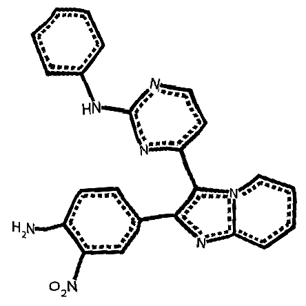 Nc1ccc(-c2nc3ccccn3c2-c2ccnc(Nc3ccccc3)n2)cc1[N+](=O)[O-]